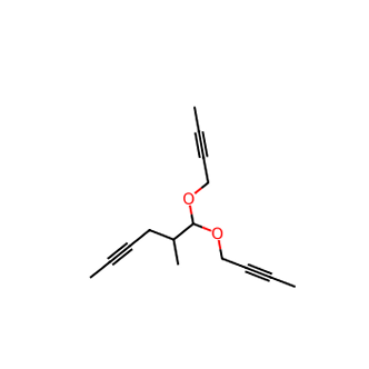 CC#CCOC(OCC#CC)C(C)CC#CC